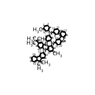 Cc1cccc(N(c2ccccc2)c2ccc3c(c2)N(c2ccc4sc5ccccc5c4c2)c2cc(C)cc4c2B3c2cc(C(C)(C)C)ccc2N4c2ccc3c(c2)-c2ccccc2C3(C)C)c1